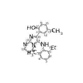 CCc1cccc(C)c1Nc1c(-c2cc(C)ccc2O)nc2ncccn12